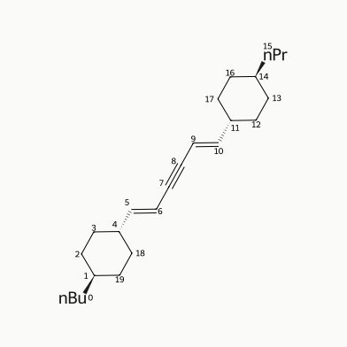 CCCC[C@H]1CC[C@H](C=CC#CC=C[C@H]2CC[C@H](CCC)CC2)CC1